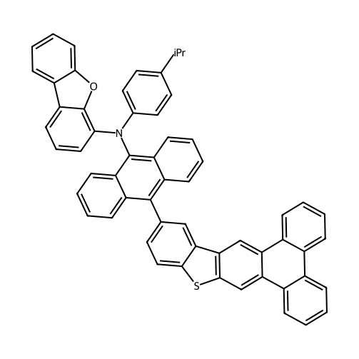 CC(C)c1ccc(N(c2c3ccccc3c(-c3ccc4sc5cc6c7ccccc7c7ccccc7c6cc5c4c3)c3ccccc23)c2cccc3c2oc2ccccc23)cc1